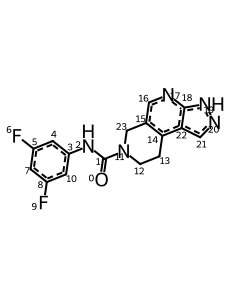 O=C(Nc1cc(F)cc(F)c1)N1CCc2c(cnc3[nH]ncc23)C1